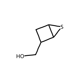 OCC1CC2SC12